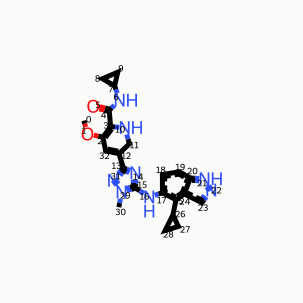 COC1=C(C(=O)NC2CC2)NCC(c2nc(Nc3ccc4[nH]ncc4c3C3CC3)n(C)n2)=C1